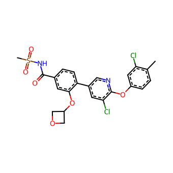 Cc1ccc(Oc2ncc(-c3ccc(C(=O)NS(C)(=O)=O)cc3OC3COC3)cc2Cl)cc1Cl